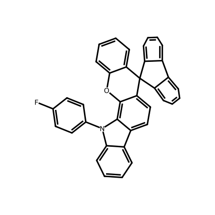 Fc1ccc(-n2c3ccccc3c3ccc4c(c32)Oc2ccccc2C42c3ccccc3-c3ccccc32)cc1